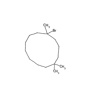 CC1(C)CCCCCCCC(C)(Br)CCC1